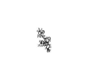 CC(C)(C)OC(=O)NCC[C@@H]1COC[C@@H](c2ccc(Br)cc2)N1C(=O)OC(C)(C)C